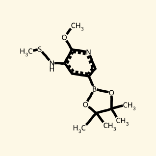 COc1ncc(B2OC(C)(C)C(C)(C)O2)cc1NSC